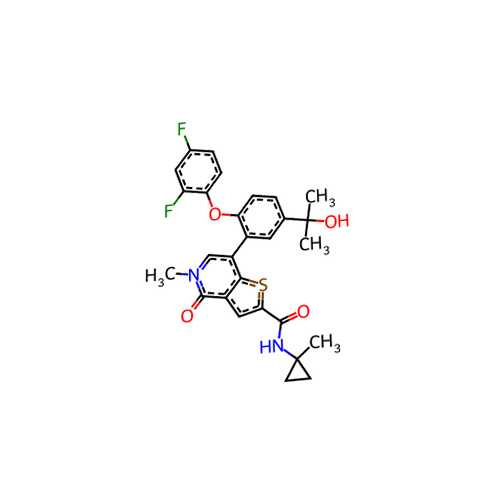 Cn1cc(-c2cc(C(C)(C)O)ccc2Oc2ccc(F)cc2F)c2sc(C(=O)NC3(C)CC3)cc2c1=O